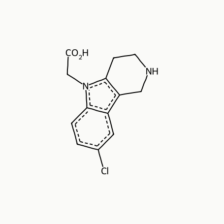 O=C(O)Cn1c2c(c3cc(Cl)ccc31)CNCC2